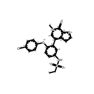 CCS(=O)(=O)Nc1ccc(Oc2ccc(Cl)cc2)c(-c2cn(C)c(=O)c3sccc23)c1